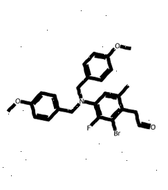 COc1ccc(CN(Cc2ccc(OC)cc2)c2cc(C)c(CC=O)c(Br)c2F)cc1